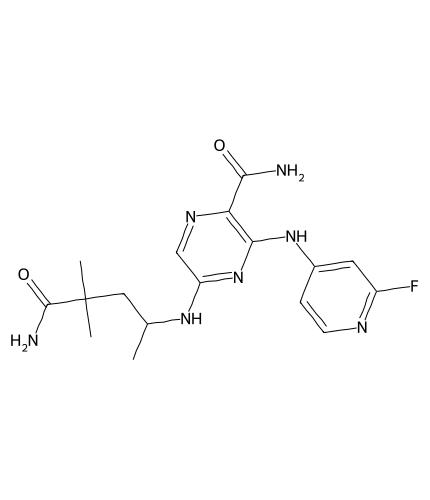 CC(CC(C)(C)C(N)=O)Nc1cnc(C(N)=O)c(Nc2ccnc(F)c2)n1